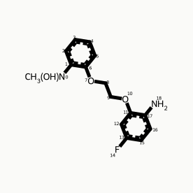 CN(O)c1ccccc1OCCOc1cc(F)ccc1N